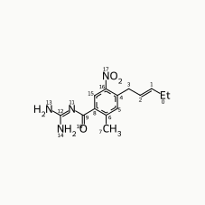 CCC=CCc1cc(C)c(C(=O)N=C(N)N)cc1[N+](=O)[O-]